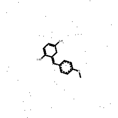 COc1ccc(C=C2CC(N)=CC=C2O)cc1